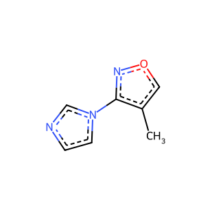 Cc1conc1-n1ccnc1